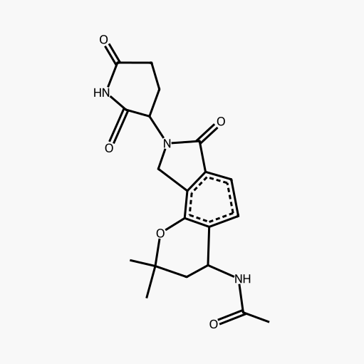 CC(=O)NC1CC(C)(C)Oc2c1ccc1c2CN(C2CCC(=O)NC2=O)C1=O